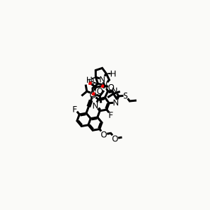 CCSc1nc2c3c(nc(-c4cc(OCOC)cc5ccc(F)c(C#C[Si](C(C)C)(C(C)C)C(C)C)c45)c(F)c3n1)OC[C@@H]1[C@@H]3CC[C@H](CN21)N3C(=O)OC(C)(C)C